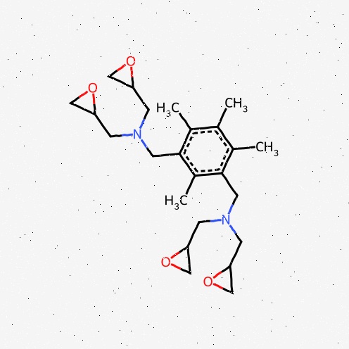 Cc1c(C)c(CN(CC2CO2)CC2CO2)c(C)c(CN(CC2CO2)CC2CO2)c1C